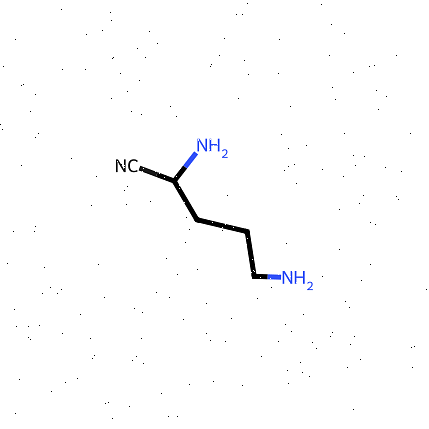 N#CC(N)CCCN